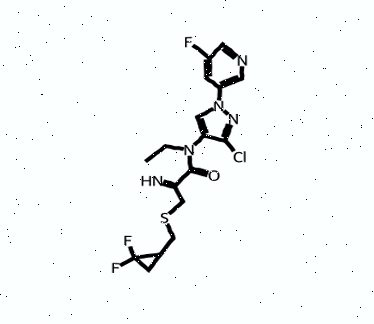 CCN(C(=O)C(=N)CSCC1CC1(F)F)c1cn(-c2cncc(F)c2)nc1Cl